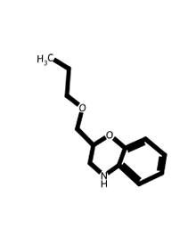 CCCOCC1CNc2ccccc2O1